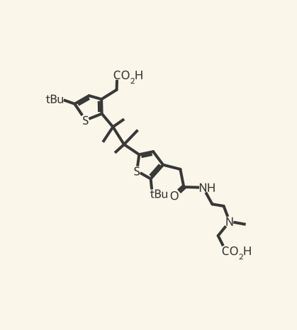 CN(CCNC(=O)Cc1cc(C(C)(C)C(C)(C)c2sc(C(C)(C)C)cc2CC(=O)O)sc1C(C)(C)C)CC(=O)O